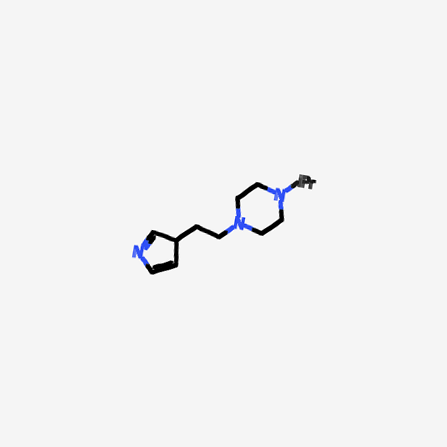 CC(C)N1CCN(CCC2C=CN=C2)CC1